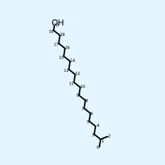 CC(C)CCCCCCCCCCCCCCCCCO